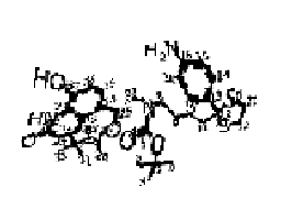 CC(C)(C)OC(=O)N(CCCCC1(c2ccc(N)cc2)SCCS1)C[C@H](O[Si](C)(C)C(C)(C)C)c1ccc(O)c2[nH]c(=O)ccc12